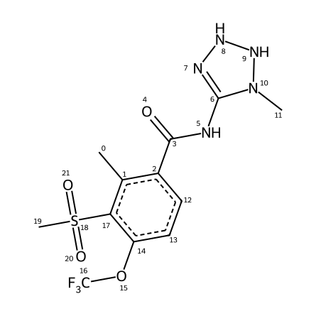 Cc1c(C(=O)NC2=NNNN2C)ccc(OC(F)(F)F)c1S(C)(=O)=O